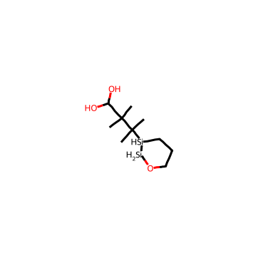 CC(C)(C(O)O)C(C)(C)[SiH]1CCCO[SiH2]1